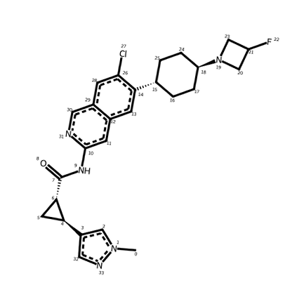 Cn1cc([C@H]2C[C@@H]2C(=O)Nc2cc3cc([C@H]4CC[C@H](N5CC(F)C5)CC4)c(Cl)cc3cn2)cn1